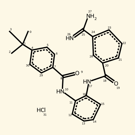 CC(C)(C)c1ccc(C(=O)Nc2ccccc2NC(=O)c2cccc(C(=N)N)c2)cc1.Cl